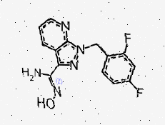 N/C(=N\O)c1nn(Cc2ccc(F)cc2F)c2ncccc12